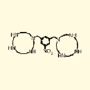 O=[N+]([O-])c1cc(CN2CCCNCCNCCCNCC2)cc(CN2CCCNCCNCCCNCC2)c1